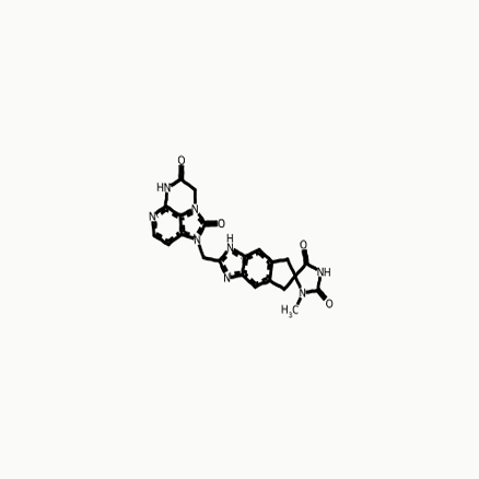 CN1C(=O)NC(=O)C12Cc1cc3nc(Cn4c(=O)n5c6c(nccc64)NC(=O)C5)[nH]c3cc1C2